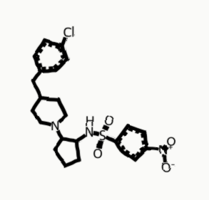 O=[N+]([O-])c1ccc(S(=O)(=O)NC2CCCC2N2CCC(Cc3ccc(Cl)cc3)CC2)cc1